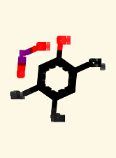 Cc1cc(C(C)(C)C)c(C(C)(C)C)cc1O.O=PO